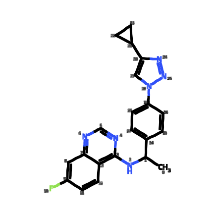 CC(Nc1ncnc2cc(F)ccc12)c1ccc(-n2cc(C3CC3)nn2)cc1